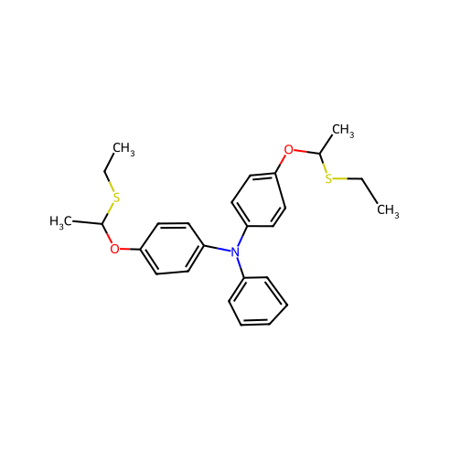 CCSC(C)Oc1ccc(N(c2ccccc2)c2ccc(OC(C)SCC)cc2)cc1